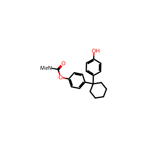 CNC(=O)Oc1ccc(C2(c3ccc(O)cc3)CCCCC2)cc1